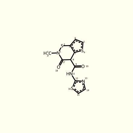 CN1Sc2ccsc2C(C(=O)Nc2nccs2)C1=O